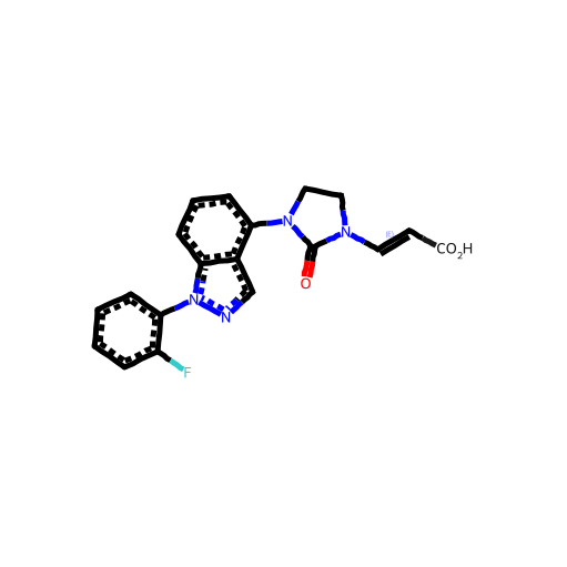 O=C(O)/C=C/N1CCN(c2cccc3c2cnn3-c2ccccc2F)C1=O